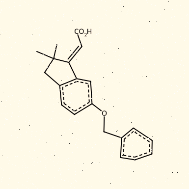 CC1(C)Cc2ccc(OCc3ccccc3)cc2C1=CC(=O)O